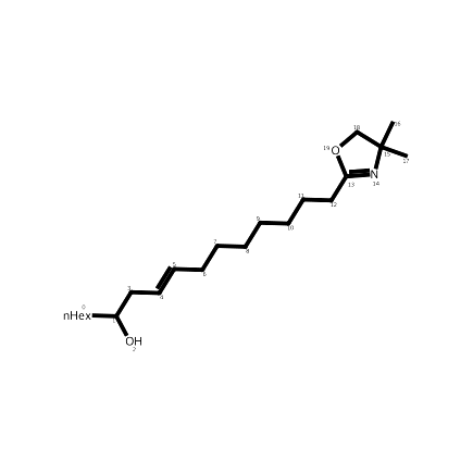 CCCCCCC(O)C/C=C/CCCCCCCC1=NC(C)(C)CO1